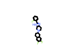 Fc1cc2c(cc1F)CC(N1CCc3nc(-c4ccccc4F)[nH]c3C1)CC2